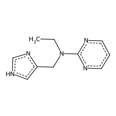 CCN(Cc1c[nH]cn1)c1ncccn1